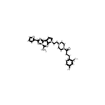 Nc1nc2c(ccn2CCN2CCN(C(=O)CCc3ccc(F)cc3F)CC2)c2nc(-c3ccco3)nn12